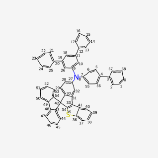 c1ccc(-c2ccc(N(c3cc(-c4ccccc4)cc(-c4ccccc4)c3)c3ccc4c(c3)-c3c(sc5ccccc35)C43c4ccccc4-c4ccccc43)cc2)cc1